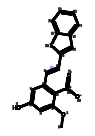 COc1cc(O)cc(/C=C/c2cc3ccccc3s2)c1[N+](=O)[O-]